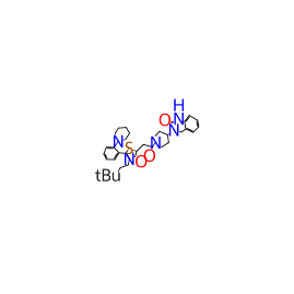 CC(C)(C)CCN1C(=O)C(CC(=O)N2CCC(N3Cc4ccccc4NC3=O)CC2)SC1c1ccccc1N1CCCCC1